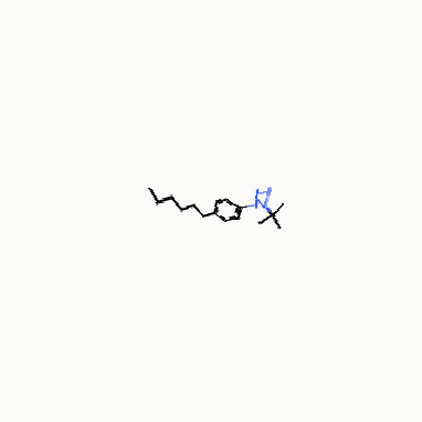 CCCCCCc1ccc(NC(C)(C)C)cc1